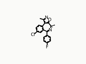 Cc1noc2c1-c1ccc(Cl)cc1C(c1ccc(F)cc1)=N[C@@H]2C